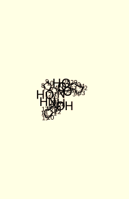 O=C(NC(Cc1ccccc1)C(O)CN[C@@H]1c2ccccc2C[C@@H]1O)OC1C(O)=Cc2ccccc21